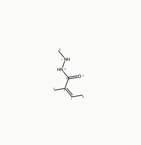 C/C=C(/C)C(=O)NNC